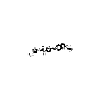 Cc1cc(OCC(=O)N[C@H]2CC[C@H](CCN3CCc4ccc(OCC(F)(F)F)nc4CC3)OC2)no1